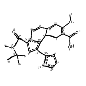 COC1=C(C(=O)O)CC2C(=C1)C=Cn1c(C(=O)N(C)C(C)(C)C)cc(-c3cccs3)c12